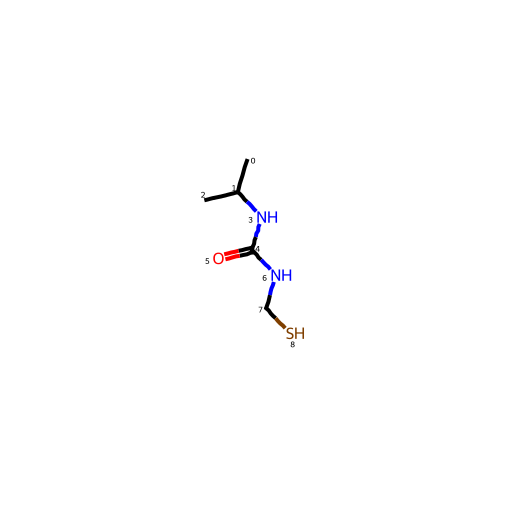 CC(C)NC(=O)NCS